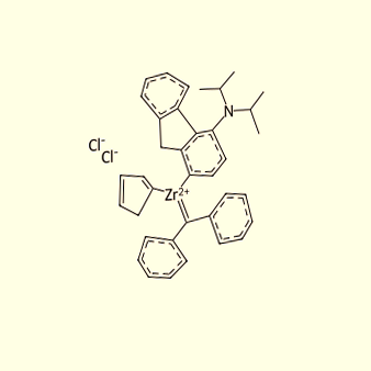 CC(C)N(c1cc[c]([Zr+2]([C]2=CC=CC2)=[C](c2ccccc2)c2ccccc2)c2c1-c1ccccc1C2)C(C)C.[Cl-].[Cl-]